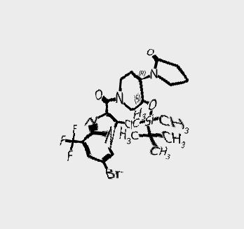 CC(C)(C)[Si](C)(C)O[C@H]1CN(C(=O)c2nc3c(C(F)(F)F)cc(Br)cn3c2Cl)CC[C@H]1N1CCCC1=O